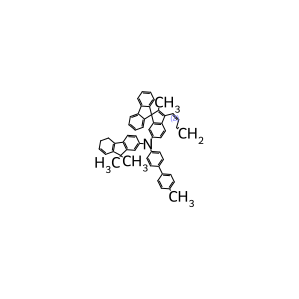 C=C/C=C\C1=C(C)C2(c3cc(N(c4ccc(-c5ccc(C)cc5)cc4)c4ccc5c(c4)C(C)(C)C4=C5CCC=C4)ccc31)c1ccccc1-c1ccccc12